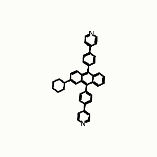 c1ccc2c(-c3ccc(-c4ccncc4)cc3)c3cc(C4CCCCC4)ccc3c(-c3ccc(-c4ccncc4)cc3)c2c1